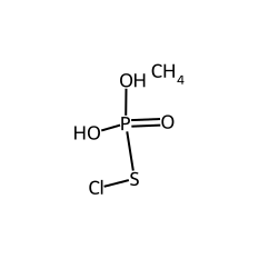 C.O=P(O)(O)SCl